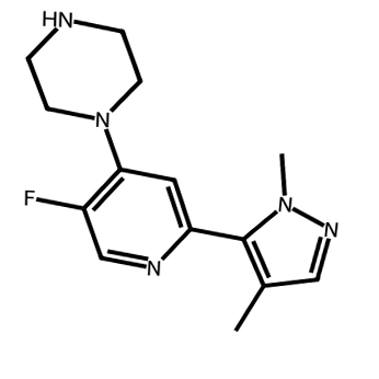 Cc1cnn(C)c1-c1cc(N2CCNCC2)c(F)cn1